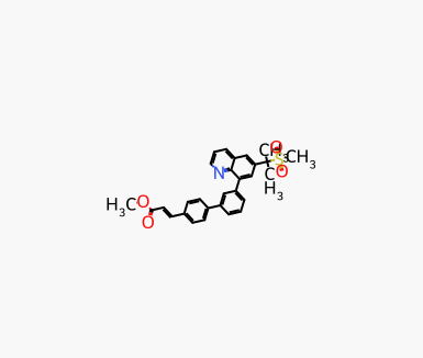 COC(=O)C=Cc1ccc(-c2cccc(-c3cc(C(C)(C)S(C)(=O)=O)cc4cccnc34)c2)cc1